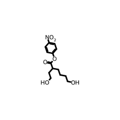 O=C(Oc1ccc([N+](=O)[O-])cc1)C(CCO)CCCCO